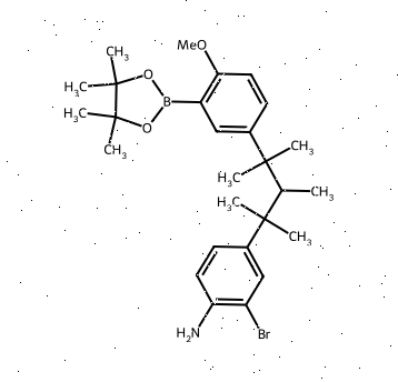 COc1ccc(C(C)(C)C(C)C(C)(C)c2ccc(N)c(Br)c2)cc1B1OC(C)(C)C(C)(C)O1